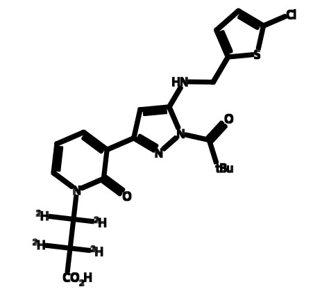 [2H]C([2H])(C(=O)O)C([2H])([2H])n1cccc(-c2cc(NCc3ccc(Cl)s3)n(C(=O)C(C)(C)C)n2)c1=O